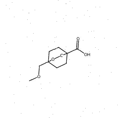 COCC12CCC(C(=O)O)(CC1)CO2